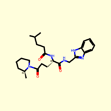 CC(C)CCC(=O)N[C@@H](CCC(=O)N1CCCC[C@@H]1C)C(=O)NCc1nc2ccccc2[nH]1